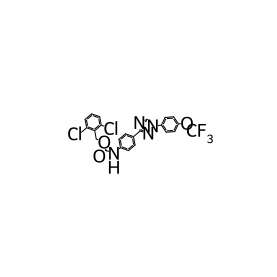 O=C(Nc1ccc(-c2ncn(-c3ccc(OC(F)(F)F)cc3)n2)cc1)OCc1c(Cl)cccc1Cl